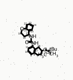 CC(C)(C)[Si](C)(C)OC1CCc2cccc(NC(=O)N[C@H]3CCOc4ccccc43)c2C1